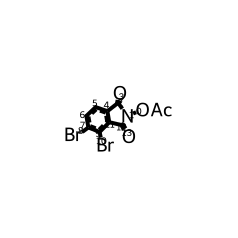 CC(=O)ON1C(=O)c2ccc(Br)c(Br)c2C1=O